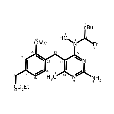 CCCCC(CC)N(O)c1nc(N)nc(C)c1Cc1ccc(CC(=O)OCC)cc1OC